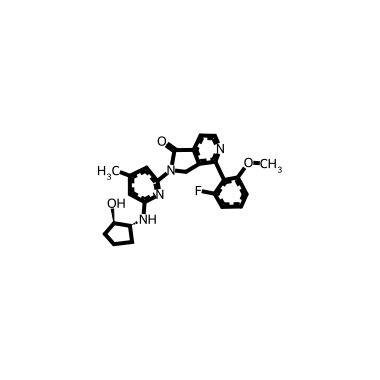 COc1cccc(F)c1-c1nccc2c1CN(c1cc(C)cc(N[C@@H]3CCC[C@H]3O)n1)C2=O